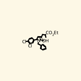 CCOC(=O)C(C)CC1=CC(c2ccc(Cl)c(Cl)c2)N(Cc2ccccc2)N1O